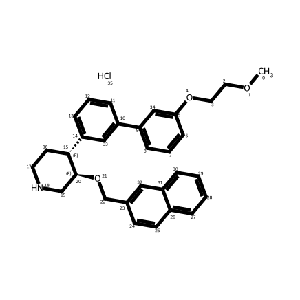 COCCOc1cccc(-c2cccc([C@H]3CCNC[C@@H]3OCc3ccc4ccccc4c3)c2)c1.Cl